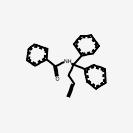 C=CCC(NC(=O)c1ccccc1)(c1ccccc1)c1ccccc1